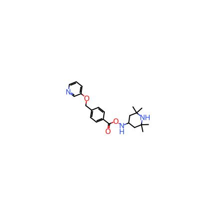 CC1(C)CC(NOC(=O)c2ccc(COc3cccnc3)cc2)CC(C)(C)N1